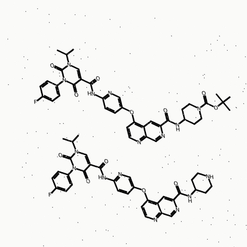 CC(C)n1cc(C(=O)Nc2ccc(Oc3ccnc4cnc(C(=O)NC5CCN(C(=O)OC(C)(C)C)CC5)cc34)cn2)c(=O)n(-c2ccc(F)cc2)c1=O.CC(C)n1cc(C(=O)Nc2ccc(Oc3ccnc4cnc(C(=O)NC5CCNCC5)cc34)cn2)c(=O)n(-c2ccc(F)cc2)c1=O